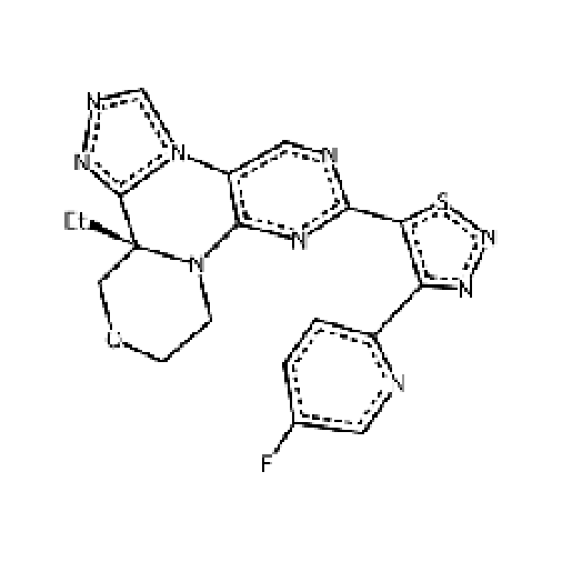 CC[C@]12COCCN1c1nc(-c3snnc3-c3ccc(F)cn3)ncc1-n1cnnc12